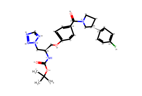 CC(C)(C)OC(=O)N[C@H](COc1ccc(C(=O)N2CC[C@H](c3ccc(F)cc3)C2)cc1)Cn1ncnn1